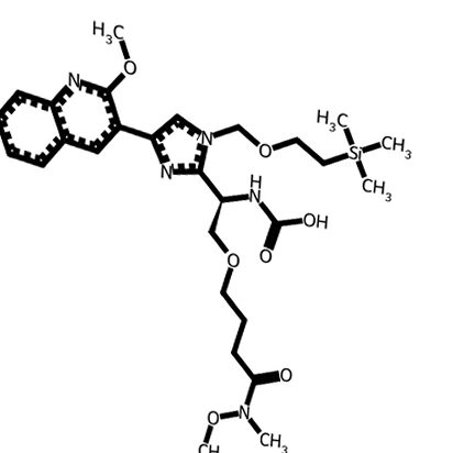 COc1nc2ccccc2cc1-c1cn(COCC[Si](C)(C)C)c([C@H](COCCCC(=O)N(C)OC)NC(=O)O)n1